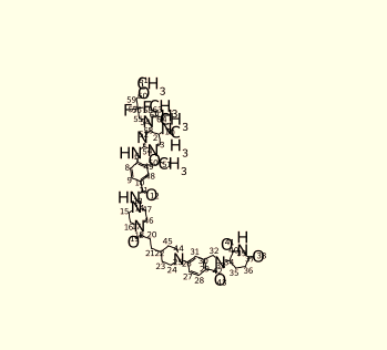 CNC1C=NC(Nc2ccc(C(=O)NN3CCN(C(=O)CCC4CCN(c5ccc6c(c5)CN(C5CCC(=O)NC5=O)C6=O)CC4)CC3)cc2OC)=NC1N(CC(F)(F)COC)C(C)C